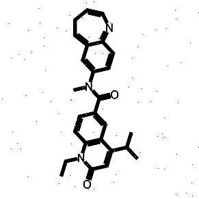 CCn1c(=O)cc(C(C)C)c2cc(C(=O)N(C)c3ccc4c(c3)=CCC=CN=4)ccc21